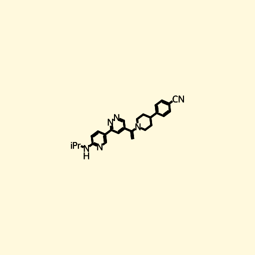 C=C(c1cnnc(-c2ccc(NC(C)C)nc2)c1)N1CCC(c2ccc(C#N)cc2)CC1